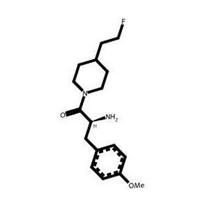 COc1ccc(C[C@H](N)C(=O)N2CCC(CCF)CC2)cc1